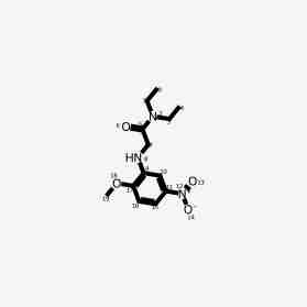 CCN(CC)C(=O)CNc1cc([N+](=O)[O-])ccc1OC